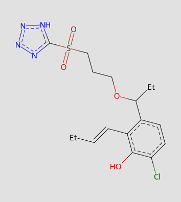 CC/C=C/c1c(C(CC)OCCCS(=O)(=O)c2nnn[nH]2)ccc(Cl)c1O